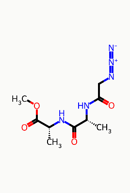 COC(=O)[C@@H](C)NC(=O)[C@@H](C)NC(=O)CN=[N+]=[N-]